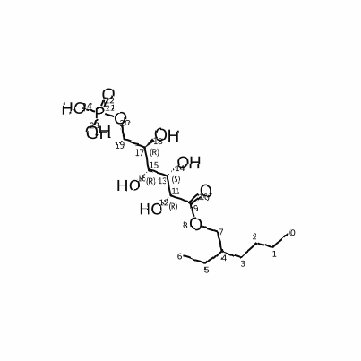 CCCCC(CC)COC(=O)[C@H](O)[C@@H](O)[C@H](O)[C@H](O)COP(=O)(O)O